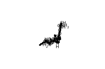 CCCCCCOP(=O)(O)O[C@H](C)[C@H](NC(=O)[C@H](CO)NC(=O)[C@H](Cc1cnc[nH]1)NC(=O)[C@H](CC(C)C)NC(=O)[C@@H]1CCCN1C(=O)CCOCCOCCNC(=O)[C@@H](N)CS)C(N)=O